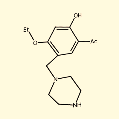 CCOc1cc(O)c(C(C)=O)cc1CN1CCNCC1